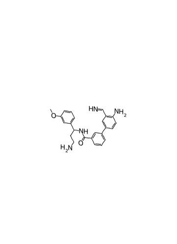 COc1cccc(C(CCN)NC(=O)c2cccc(-c3ccc(N)c(C=N)c3)c2)c1